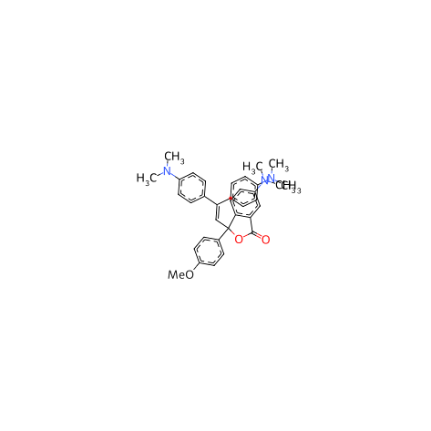 COc1ccc(C2(C=C(c3ccc(N(C)C)cc3)c3ccc(N(C)C)cc3)OC(=O)c3cc(N(C)C)ccc32)cc1